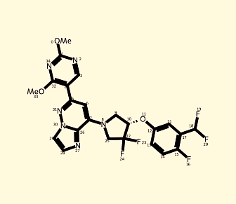 COc1ncc(-c2cc(N3C[C@H](Oc4ccc(F)c(C(F)F)c4)C(F)(F)C3)c3nccn3n2)c(OC)n1